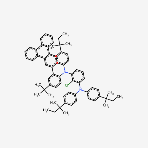 CCC(C)(C)c1ccc(N(c2ccc(C(C)(C)CC)cc2)c2cccc(N(c3ccc(C(C)(C)CC)cc3)c3ccc(C(C)(C)C)cc3-c3ccc4c5ccccc5c5ccccc5c4c3)c2Cl)cc1